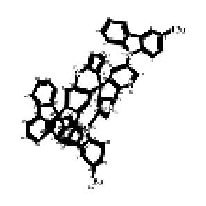 CC(C)(C)c1ccc2c(c1)c1ccccc1n2-c1cnc2c(c1)C1(c3ccccc3Oc3cc4c(cc31)-c1ccccc1C41c3ccccc3-c3ccccc31)c1cc(-n3c4ccccc4c4cc(C(C)(C)C)ccc43)cnc1-2